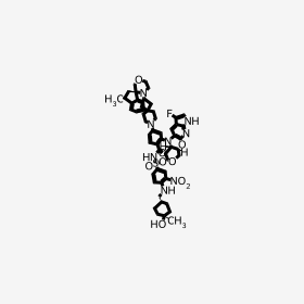 C[C@H]1C[C@]2(COCCN2C2CC3(CCN(c4ccc(C(=O)NS(=O)(=O)c5ccc(NC[C@H]6CC[C@](C)(O)CC6)c([N+](=O)[O-])c5)c(N5c6cc7c(F)c[nH]c7nc6O[C@H]6COCC[C@@H]65)c4)CC3)C2)c2ccccc21